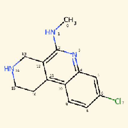 CNc1nc2cc(Cl)ccc2c2c1CNCC2